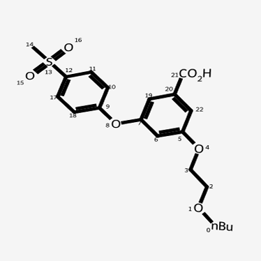 CCCCOCCOc1cc(Oc2ccc(S(C)(=O)=O)cc2)cc(C(=O)O)c1